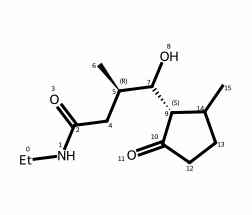 CCNC(=O)C[C@@H](C)C(O)[C@H]1C(=O)CCC1C